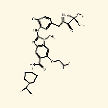 Cn1c(Nc2cc(CNC(=O)C(C)(C)C)ccc2Cl)nc2cc(C(=O)N[C@H]3CC[C@H](C(F)F)CC3)c(OCC(F)F)cc21